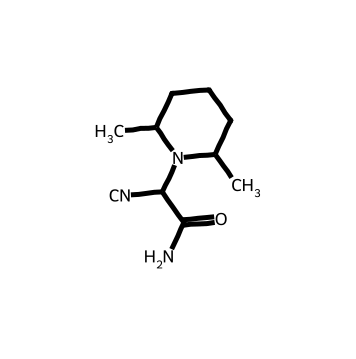 [C-]#[N+]C(C(N)=O)N1C(C)CCCC1C